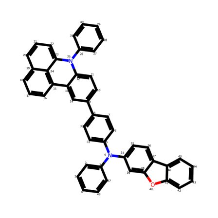 c1ccc(N(c2ccc(-c3ccc4c(c3)-c3cccc5cccc(c35)N4c3ccccc3)cc2)c2ccc3c(c2)oc2ccccc23)cc1